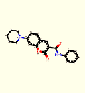 O=C(Nc1ccccc1)c1cc2ccc(N3CCCCC3)cc2oc1=O